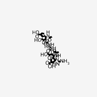 CC(=O)N[C@H]([C@@H](OC(=O)NBNC(=O)O[C@H]([C@@H](NC(C)=O)[C@@H]1C[C@@H](C(=O)O)C[C@H]1NC(=N)N)[C@@H](O)CO)[C@@H](O)CO)[C@@H]1C=C(C(=O)O)CC1